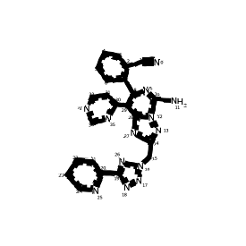 N#Cc1ccccc1-c1nc(N)n2nc(Cn3nnc(-c4ccccn4)n3)nc2c1-c1ccncn1